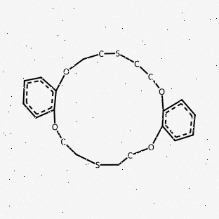 c1ccc2c(c1)OCCSCCOc1ccccc1OCCSCCO2